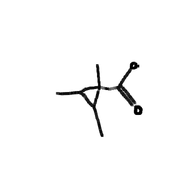 CC1C(C)C1(C)C([O])=O